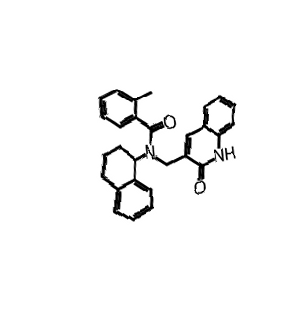 Cc1ccccc1C(=O)N(Cc1cc2ccccc2[nH]c1=O)C1CCCc2ccccc21